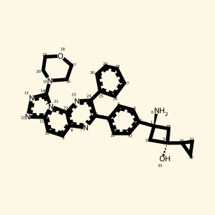 N[C@]1(c2ccc(-c3nc4ccc5nnc(N6CCOCC6)n5c4nc3-c3ccccc3)cc2)C[C@](O)(C2CC2)C1